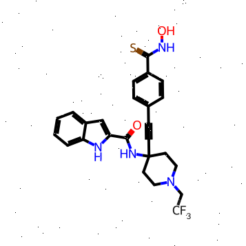 O=C(NC1(C#Cc2ccc(C(=S)NO)cc2)CCN(CC(F)(F)F)CC1)c1cc2ccccc2[nH]1